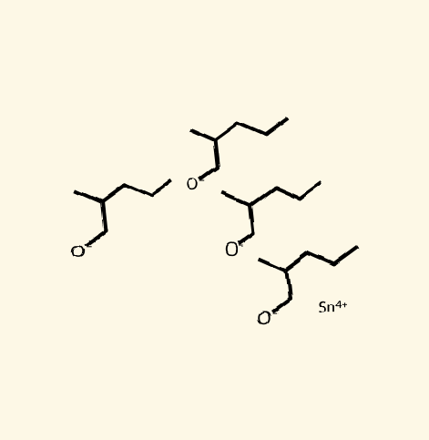 CCCC(C)C[O-].CCCC(C)C[O-].CCCC(C)C[O-].CCCC(C)C[O-].[Sn+4]